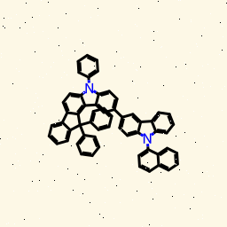 c1ccc(-n2c3ccc(-c4ccc5c(c4)c4ccccc4n5-c4cccc5ccccc45)cc3c3c4c(ccc32)-c2ccccc2C4(c2ccccc2)c2ccccc2)cc1